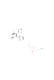 C[C@]12C[C@H](c3ccc(OCCCCCS(=O)(=O)CCCC(F)(F)C(F)(F)F)cc3)[C@@H]3c4ccc(O)cc4CC[C@@]3(C)[C@@H]1CC[C@@H]2O